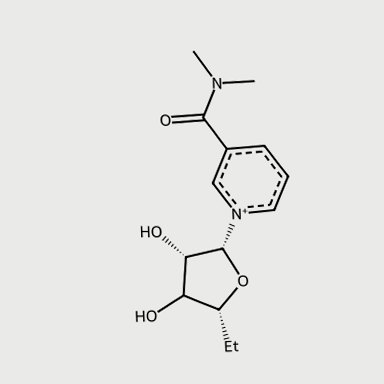 CC[C@H]1O[C@@H]([n+]2cccc(C(=O)N(C)C)c2)[C@@H](O)C1O